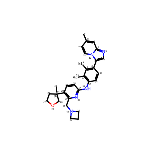 CCc1c(-c2cnc3cc(C)ccn23)ccc(Nc2ccc([C@@]3(C)CCOC3)c(CN3CCC3)n2)c1C(C)=O